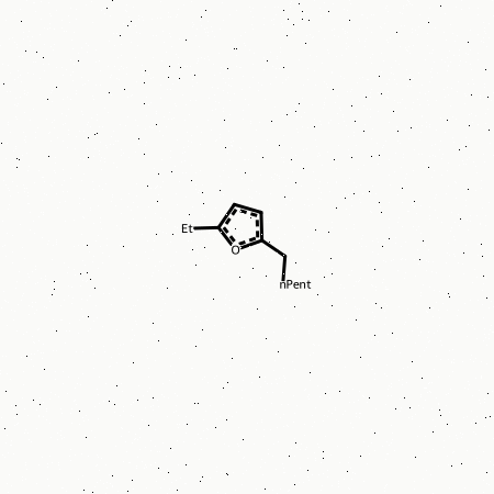 CCCCCCc1ccc(CC)o1